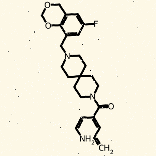 C=C/C=C(\C=C/N)C(=O)N1CCC2(CCN(Cc3cc(F)cc4c3OCOC4)CC2)CC1